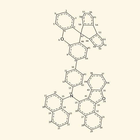 c1ccc2c(c1)Oc1cc(-c3ccc(N(c4cccc5ccccc45)c4cc5ccccc5c5oc6ccccc6c45)cc3)ccc1C21c2ccccc2-c2ccccc21